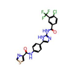 O=C(Nc1ncc(-c2ccc(NC(=O)c3cscn3)cc2)[nH]1)c1ccc(Cl)c(C(F)(F)F)c1